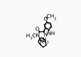 COc1ccc2[nH]nc(C(=O)N(C)C3CC4CCC(C3)N4C)c2c1